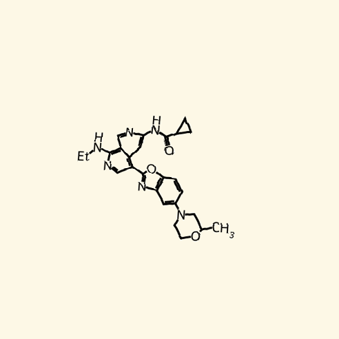 CCNc1ncc(-c2nc3cc(N4CCOC(C)C4)ccc3o2)c2cc(NC(=O)C3CC3)ncc12